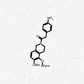 CCCCCOc1c(OC)ccc2c1CCN(C(=O)Cc1ccc([N+](=O)[O-])cc1)C2